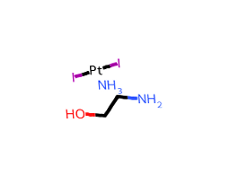 N.NCCO.[I][Pt][I]